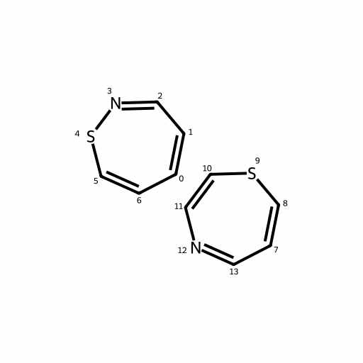 C1=CC=NSC=C1.C1=CSC=CN=C1